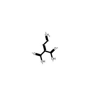 C=CC=C(C(=O)O)C(=O)O